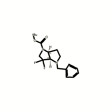 CC(C)(C)OC(=O)N1CC(F)(F)[C@H]2[C@@H]1CCN2Cc1ccccc1